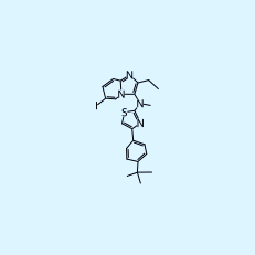 CCc1nc2ccc(I)cn2c1N(C)c1nc(-c2ccc(C(C)(C)C)cc2)cs1